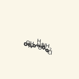 Nc1cc(-c2ccc(Cl)cc2)ccc1OC(=O)NCCc1ccc(CN2CCC(O)(c3ccccc3)CC2)cc1